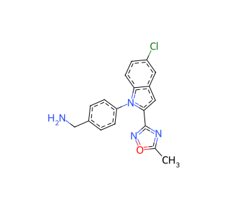 Cc1nc(-c2cc3cc(Cl)ccc3n2-c2ccc(CN)cc2)no1